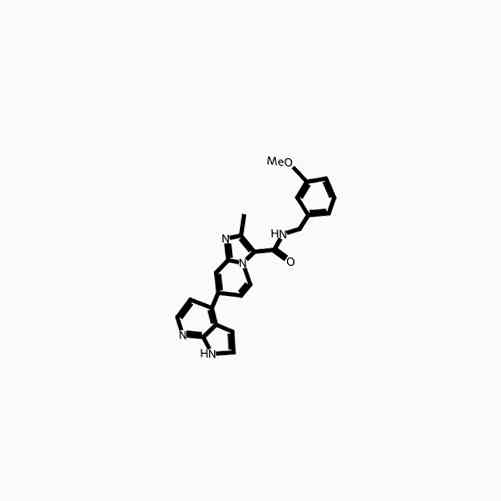 COc1cccc(CNC(=O)c2c(C)nc3cc(-c4ccnc5[nH]ccc45)ccn23)c1